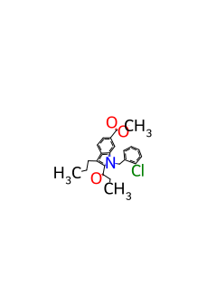 CCCc1c(C(=O)CC)n(Cc2ccccc2Cl)c2cc(C(=O)OC)ccc12